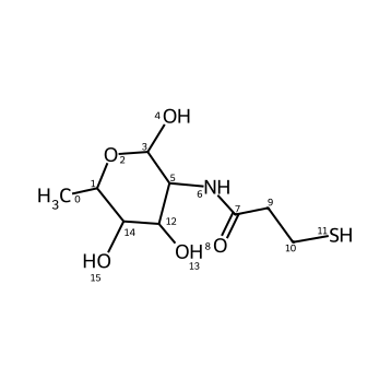 CC1OC(O)C(NC(=O)CCS)C(O)C1O